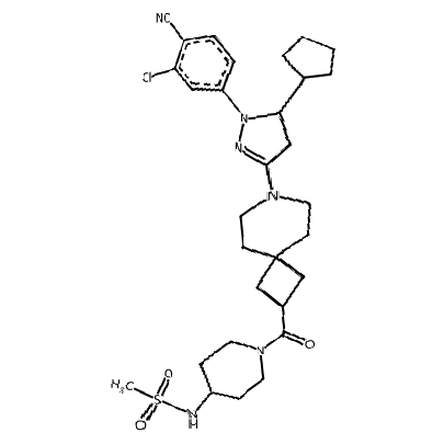 CS(=O)(=O)NC1CCN(C(=O)C2CC3(CCN(C4=NN(c5ccc(C#N)c(Cl)c5)C(C5CCCC5)C4)CC3)C2)CC1